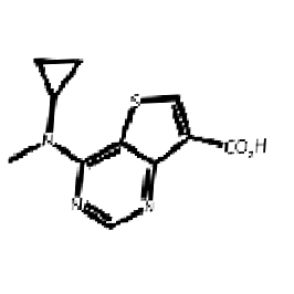 CN(c1ncnc2c(C(=O)O)csc12)C1CC1